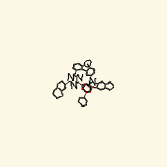 c1ccc(-c2ccc3c(c2)c2cc4ccccc4cc2n3-c2ccc3oc4cccc(-c5nc(-c6ccccc6)nc(-c6ccc7ccccc7c6)n5)c4c3c2)cc1